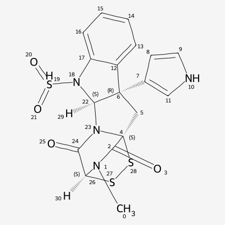 CN1C(=O)[C@@]23C[C@]4(c5cc[nH]c5)c5ccccc5N([SH](=O)=O)[C@@H]4N2C(=O)[C@@H]1SS3